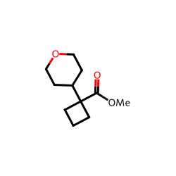 COC(=O)C1(C2CCOCC2)CCC1